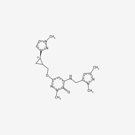 Cc1cc(CNc2cc(OCC3C[C@H]3c3ccn(C)n3)nn(C)c2=O)n(C)n1